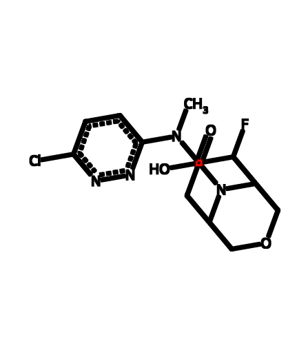 CN(c1ccc(Cl)nn1)C1CC2COCC(C1F)N2C(=O)O